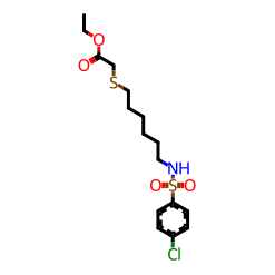 CCOC(=O)CSCCCCCCNS(=O)(=O)c1ccc(Cl)cc1